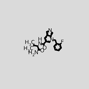 CC(C)[C@H](NC(=O)c1cc2cncc-2n(Cc2ccccc2F)c1)C(N)=O